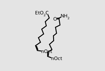 CCCCCCCC/C=C\CCCCCCCC(=O)OCC.CCCCCCCC/C=C\CCCCCCCC(N)=O